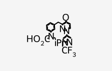 CC(C)CN(C(=O)O)c1cccc(Cc2nn(-c3cnn(CC(F)(F)F)c3)ccc2=O)c1